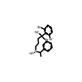 CCCN(CCCC(C#N)(c1c(Br)cccc1Br)C(C)C)C(C)c1ccccc1